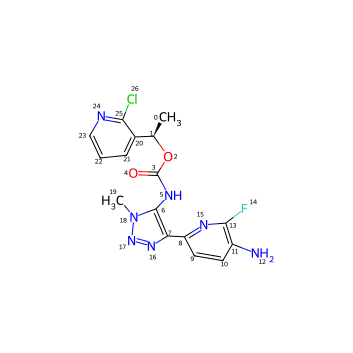 C[C@@H](OC(=O)Nc1c(-c2ccc(N)c(F)n2)nnn1C)c1cccnc1Cl